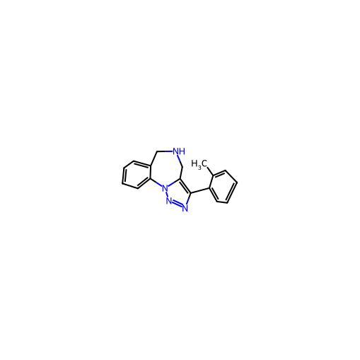 Cc1ccccc1-c1nnn2c1CNCc1ccccc1-2